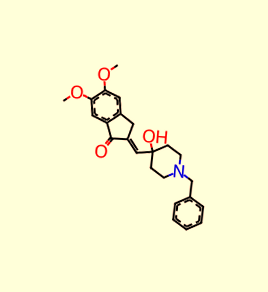 COc1cc2c(cc1OC)C(=O)/C(=C/C1(O)CCN(Cc3ccccc3)CC1)C2